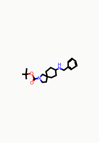 CC(C)(C)OC(=O)N1CCC2(CCC(NCc3ccccc3)CC2)C1